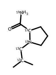 C[13CH](C)[13CH2][15N]1CCC[13CH]1C([15NH2])=O